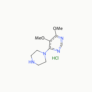 COc1ncnc(N2CCNCC2)c1OC.Cl